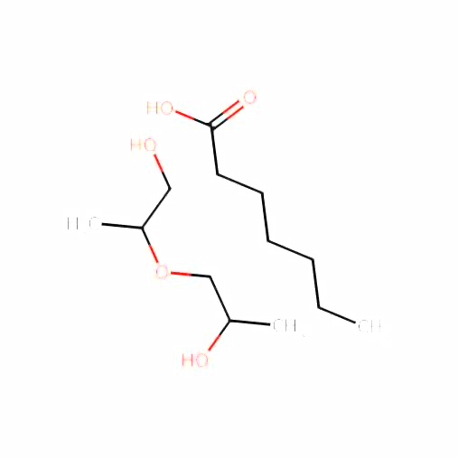 CC(O)COC(C)CO.CCCCCCC(=O)O